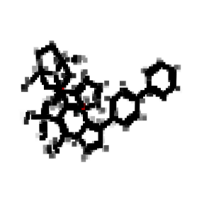 CS(=O)(=O)c1c(C2C[C@H]3CC[C@@H](C2)N3C(=O)c2nnn[nH]2)nc2c(-c3ccc(-c4ccccc4)nc3)cnn2c1N